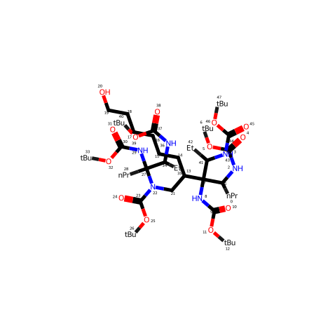 CCCC(NC(=O)OC(C)(C)C)C(NC(=O)OC(C)(C)C)(C(CCCCCCO)CN(C(=O)OC(C)(C)C)C(CCC)(NC(=O)OC(C)(C)C)C(CC)NC(=O)OC(C)(C)C)C(CC)NC(=O)OC(C)(C)C